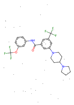 O=C(Nc1cccc(OC(F)(F)F)c1)c1cc(N2CCC(N3CCCC3)CC2)cc(C(F)(F)F)c1